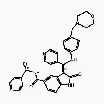 CC[C@@H](NC(=O)c1ccc2c(c1)/C(=C(/Nc1ccc(CN3CCOCC3)cc1)c1ccncc1)C(=O)N2)c1ccccc1